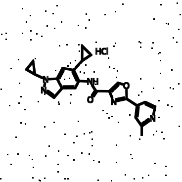 Cc1cc(-c2nc(C(=O)Nc3cc4cnn(C5CC5)c4cc3C3CC3)co2)ccn1.Cl